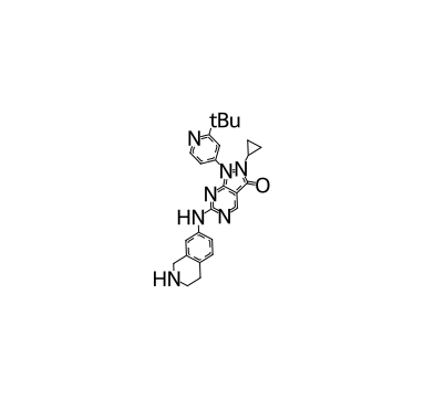 CC(C)(C)c1cc(-n2c3nc(Nc4ccc5c(c4)CNCC5)ncc3c(=O)n2C2CC2)ccn1